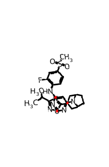 CC(C)c1noc(C2CC3CCC(C2)N3c2cc(Nc3ccc(S(C)(=O)=O)cc3F)ncn2)n1